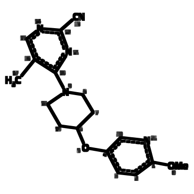 COc1ccc(OC2CCN(c3nc(C#N)ncc3C)CC2)cn1